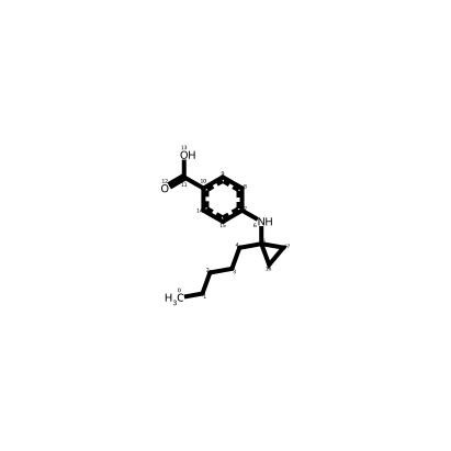 CCCCCC1(Nc2ccc(C(=O)O)cc2)CC1